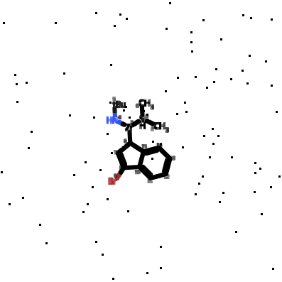 C[SiH](C)[Zr]([NH]C(C)(C)C)[CH]1C=C(Br)c2ccccc21